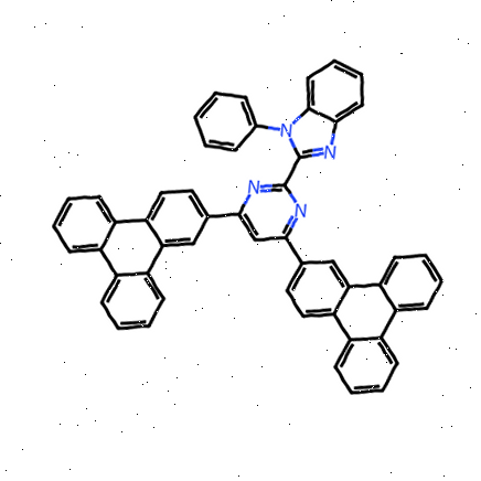 c1ccc(-n2c(-c3nc(-c4ccc5c6ccccc6c6ccccc6c5c4)cc(-c4ccc5c6ccccc6c6ccccc6c5c4)n3)nc3ccccc32)cc1